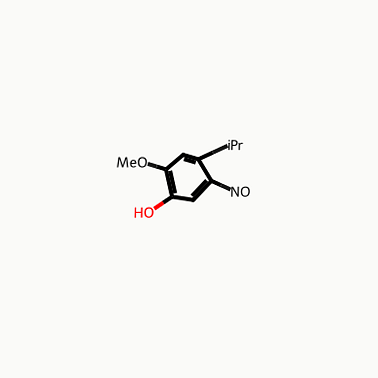 COc1cc(C(C)C)c(N=O)cc1O